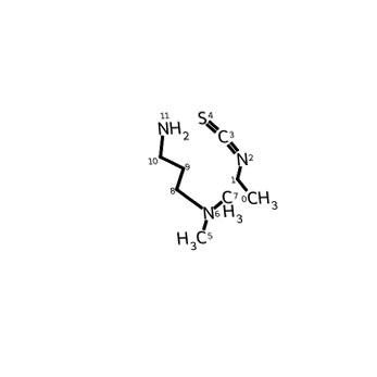 CCN=C=S.CN(C)CCCN